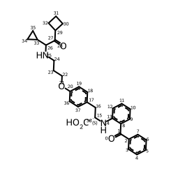 O=C(c1ccccc1)c1ccccc1N[C@@H](Cc1ccc(OCCCNC(C(=O)C2CCC2)C2CC2)cc1)C(=O)O